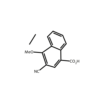 CC.COc1c(C#N)cc(C(=O)O)c2ccccc12